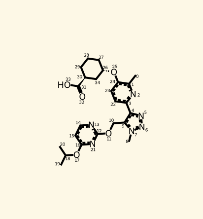 Cc1nc(-c2nnn(C)c2COc2nccc(OC(C)C)n2)ccc1O[C@H]1CCC[C@H](C(=O)O)C1